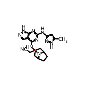 Cc1cc(Nc2nc(NC3CC4CCC(C3)N4CCC#N)c3cn[nH]c3n2)n[nH]1